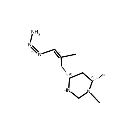 C/C(=C/N=N\N)C[C@@H]1C[C@H](C)N(C)CN1